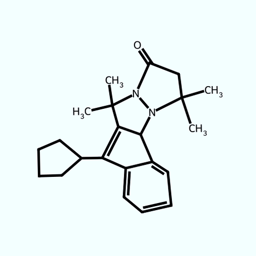 CC1(C)CC(=O)N2N1C1C(=C(C3CCCC3)c3ccccc31)C2(C)C